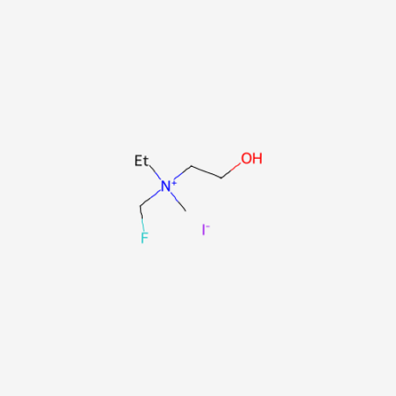 CC[N+](C)(CF)CCO.[I-]